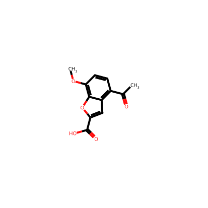 COc1ccc(C(C)=O)c2cc(C(=O)O)oc12